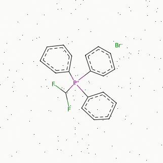 F[C](F)[P+](c1ccccc1)(c1ccccc1)c1ccccc1.[Br-]